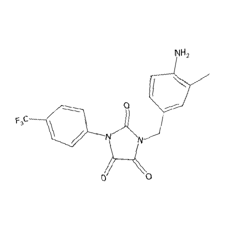 Cc1cc(CN2C(=O)C(=O)N(c3ccc(C(F)(F)F)cc3)C2=O)ccc1N